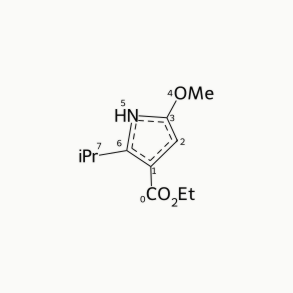 CCOC(=O)c1cc(OC)[nH]c1C(C)C